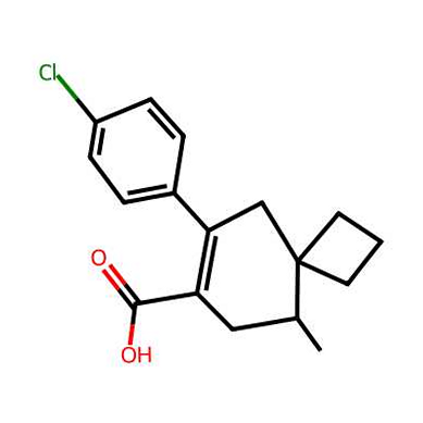 CC1CC(C(=O)O)=C(c2ccc(Cl)cc2)CC12CCC2